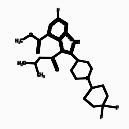 COC(=O)c1cc(F)cc2[nH]c(C3CCN(C4CCC(F)(F)CC4)CC3)c(C(=O)CC(C)C)c12